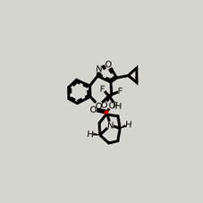 O=C(O)N1[C@@H]2CC[C@H]1C[C@@H](OCc1c(-c3ccccc3OC(F)(F)F)noc1C1CC1)C2